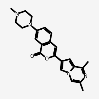 Cc1cn2cc(-c3cc4ccc(N5CCN(C)CC5)cc4c(=O)o3)cc2c(C)n1